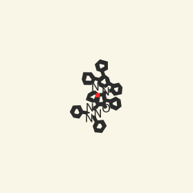 c1ccc(-c2nc(-c3ccccc3)nc(-c3ccc(-n4c5ccccc5c5cc(-c6ccccc6)c6c7ccccc7n(-c7ccccc7)c6c54)c4c3oc3ccccc34)n2)cc1